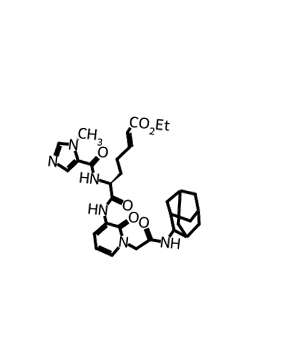 CCOC(=O)/C=C/CC[C@H](NC(=O)c1cncn1C)C(=O)Nc1cccn(CC(=O)NC2C3CC4CC(C3)CC2C4)c1=O